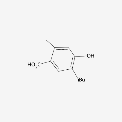 CCC(C)c1cc(C(=O)O)c(C)cc1O